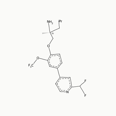 CC(C)C[C@](C)(N)COc1ccc(-c2ccnc(C(F)F)c2)cc1OC(F)(F)F